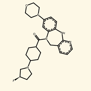 O=C(C1CCC(N2CC[C@@H](F)C2)CC1)N1Cc2cccnc2Nc2ccc(N3CCOCC3)cc21